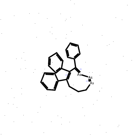 c1ccc(C2=[As]\[As]=[As]/CCC/C(c3ccccc3)=C\2c2ccccc2)cc1